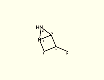 CC1CN2NC12